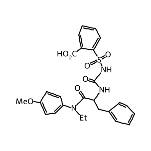 CCN(C(=O)C(Cc1ccccc1)NC(=O)NS(=O)(=O)c1ccccc1C(=O)O)c1ccc(OC)cc1